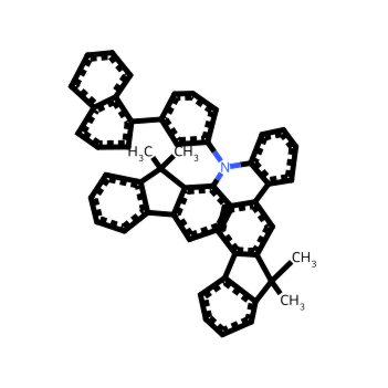 CC1(C)c2ccccc2-c2ccc(-c3ccccc3N(c3cccc(-c4cccc5ccccc45)c3)c3cccc4c3C(C)(C)c3ccccc3-4)cc21